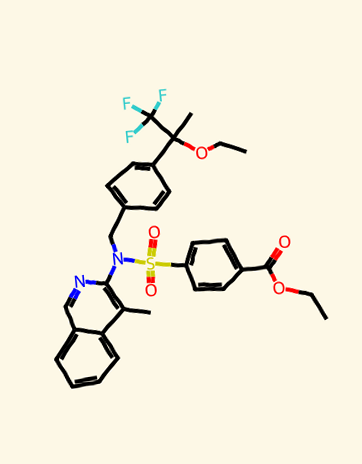 CCOC(=O)c1ccc(S(=O)(=O)N(Cc2ccc(C(C)(OCC)C(F)(F)F)cc2)c2ncc3ccccc3c2C)cc1